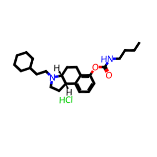 CCCCNC(=O)Oc1cccc2c1CC[C@@H]1[C@H]2CCN1CCC1CCCCC1.Cl